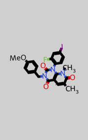 COc1ccc(Cn2c(=O)c3[c]c(C)c(=O)n(C)c3n(-c3ccc(I)cc3F)c2=O)cc1